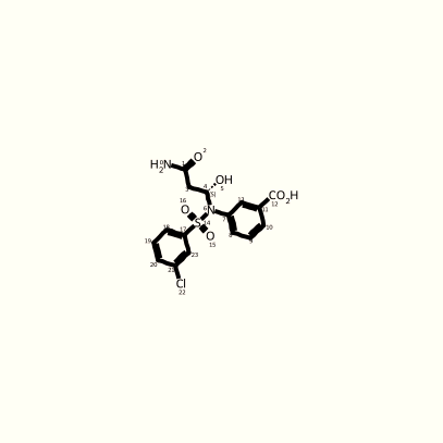 NC(=O)C[C@H](O)N(c1cccc(C(=O)O)c1)S(=O)(=O)c1cccc(Cl)c1